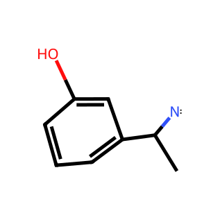 CC([N])c1cccc(O)c1